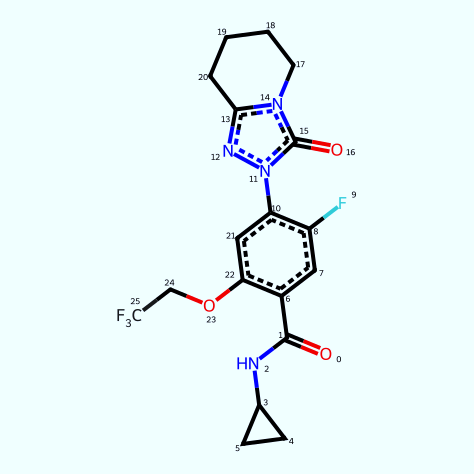 O=C(NC1CC1)c1cc(F)c(-n2nc3n(c2=O)CCCC3)cc1OCC(F)(F)F